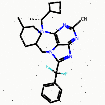 CC1CCC(Cn2c(C(F)(F)c3ccccc3)nc3nc(C#N)nc(N[C@H](C)C4CCC4)c32)CC1